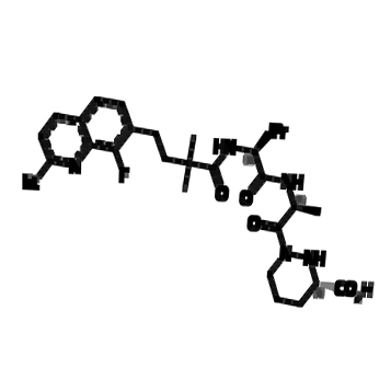 CCc1ccc2ccc(CCC(C)(C)C(=O)N[C@H](C(=O)N[C@@H](C)C(=O)N3CCC[C@@H](C(=O)O)N3)C(C)C)c(F)c2n1